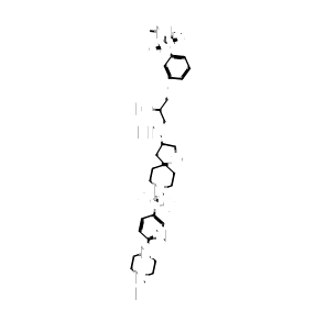 CNS(=O)(=O)c1cccc(OCC(O)CNC2COC3(CCN(S(=O)(=O)c4ccc(N5CCNCC5)nc4)CC3)C2)c1